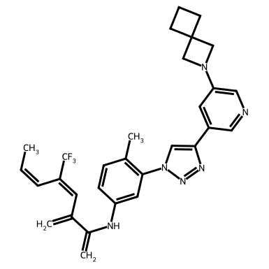 C=C(/C=C(\C=C/C)C(F)(F)F)C(=C)Nc1ccc(C)c(-n2cc(-c3cncc(N4CC5(CCC5)C4)c3)nn2)c1